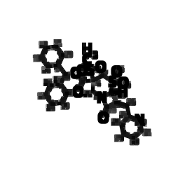 CS(=O)(=O)C1(C(=O)OC(c2ccccc2)c2ccccc2)CN2C(=O)C(=Cc3ccccn3)[C@H]2S(=O)(=O)C1